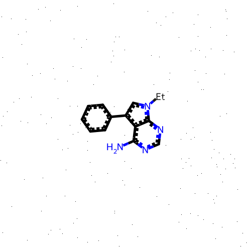 CCn1cc(-c2ccccc2)c2c(N)ncnc21